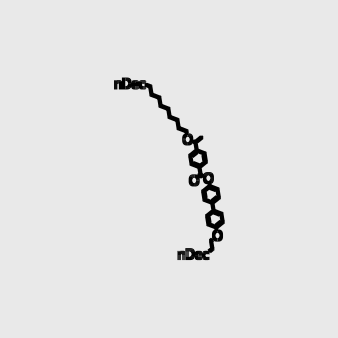 CCCCCCCCCCCCCCCCCCCOC(C)c1ccc(C(=O)Oc2ccc(-c3ccc(OCCCCCCCCCCCC)cc3)cc2)cc1